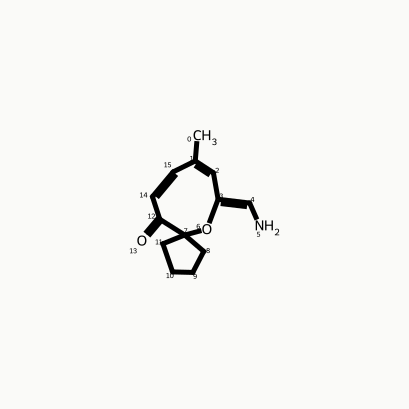 CC1=C/C(=C/N)OC2(CCCC2)C(=O)/C=C\1